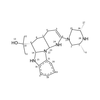 C[C@@H]1CN(C2=CCC3C[C@@H](C(C)(C)O)C4Nc5ccccc5N4C3N2)C[C@H](C)N1